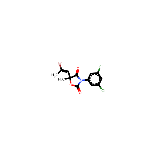 C/C(Br)=C\C1(C)OC(=O)N(c2cc(Cl)cc(Cl)c2)C1=O